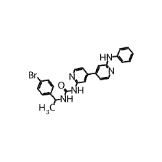 CC(NC(=O)Nc1cc(-c2ccnc(Nc3ccccc3)c2)ccn1)c1ccc(Br)cc1